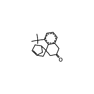 CC(C)(C)c1cccc2c1C1(CC(=O)C2)CC2=CCC1C2